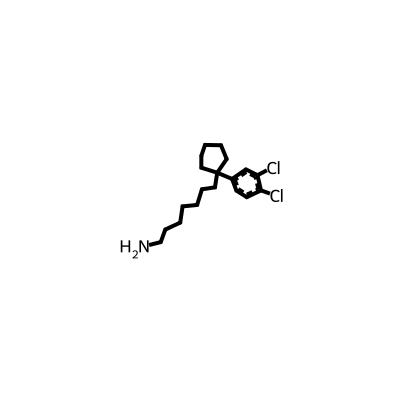 NCCCCCCCC1(c2ccc(Cl)c(Cl)c2)CCCCC1